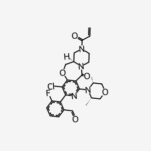 C=CC(=O)N1CCN2C(=O)c3c(N4[C@H](C)COC[C@@H]4C)nc(-c4c(F)cccc4C=O)c(Cl)c3OC[C@H]2C1